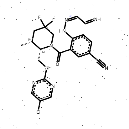 C[C@@H]1CC(F)(F)CN(C(=O)c2cc(C#N)ccc2N/N=C\C=N)[C@@H]1CNc1ncc(Cl)cn1